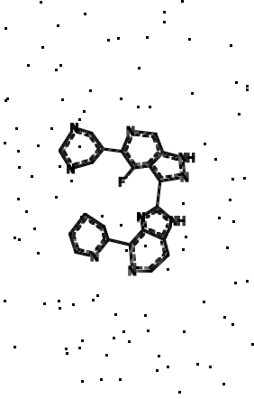 Fc1c(-c2cncnc2)ncc2[nH]nc(-c3nc4c(-c5ccccn5)nccc4[nH]3)c12